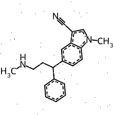 CNCCC(c1ccccc1)c1ccc2c(c1)c(C#N)cn2C